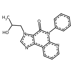 CC(O)Cn1cnc2c3cccnc3n(-c3ccccc3)c(=O)c21